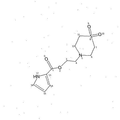 O=C(OCCN1CCS(=O)(=O)CC1)c1ccc[nH]1